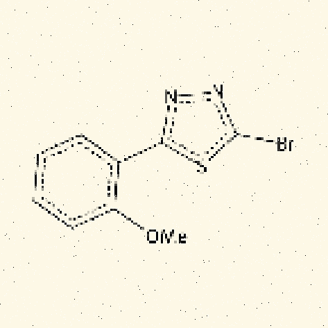 COc1ccccc1-c1nnc(Br)s1